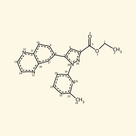 CCOC(=O)c1cc(-c2ccc3nccnc3c2)n(-c2cccc(C)n2)n1